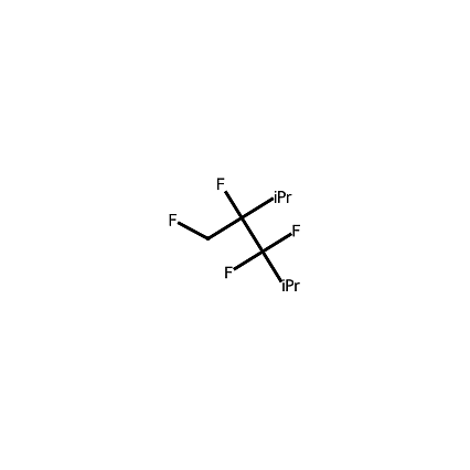 CC(C)C(F)(F)C(F)(CF)C(C)C